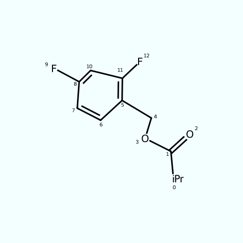 CC(C)C(=O)OCc1ccc(F)cc1F